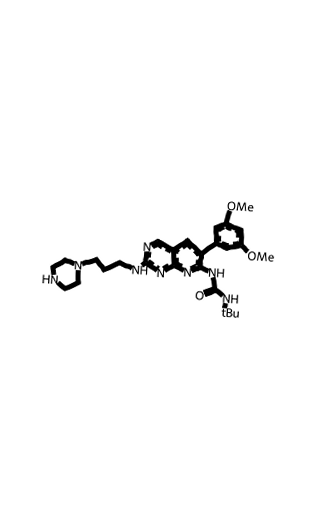 COc1cc(OC)cc(-c2cc3cnc(NCCCN4CCNCC4)nc3nc2NC(=O)NC(C)(C)C)c1